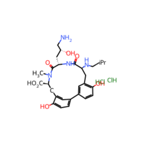 CC(C)CN[C@H]1Cc2cc(ccc2O)-c2ccc(O)c(c2)C[C@@H](C(=O)O)N(C)C(=O)[C@H](C[C@@H](O)CN)NC1=O.Cl.Cl